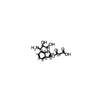 NCC(O)CO.O=C(O)CC(=O)O.c1ccc2[nH]ccc2c1